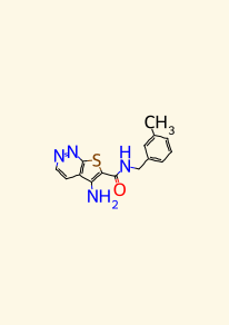 Cc1cccc(CNC(=O)c2sc3nnccc3c2N)c1